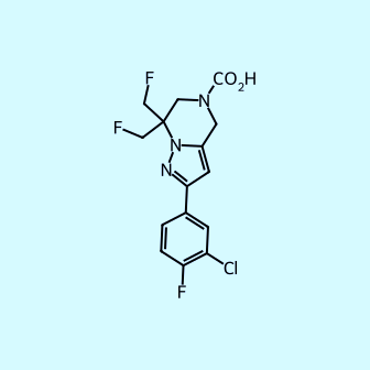 O=C(O)N1Cc2cc(-c3ccc(F)c(Cl)c3)nn2C(CF)(CF)C1